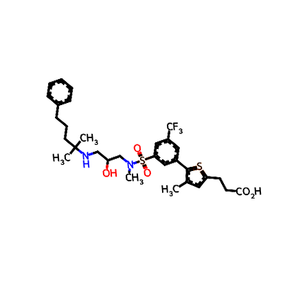 Cc1cc(CCC(=O)O)sc1-c1cc(C(F)(F)F)cc(S(=O)(=O)N(C)CC(O)CNC(C)(C)CCCc2ccccc2)c1